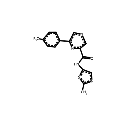 Cc1ncc(NC(=O)c2cncc(-c3ccc(C(F)(F)F)cc3)n2)s1